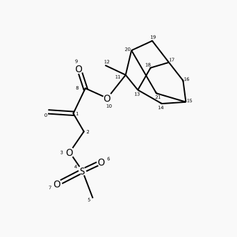 C=C(COS(C)(=O)=O)C(=O)OC1(C)C2CC3CC(C2)CC1C3